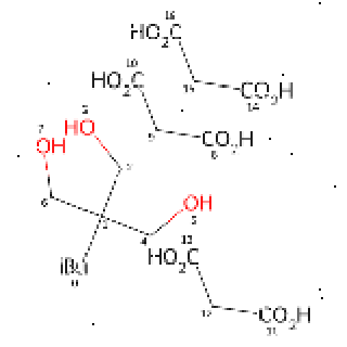 CCC(C)C(CO)(CO)CO.O=C(O)CC(=O)O.O=C(O)CC(=O)O.O=C(O)CC(=O)O